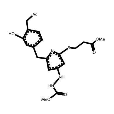 COC(=O)CCSc1cc(NNC(=O)OC)cc(Cc2ccc(CC(C)=O)c(O)c2)n1